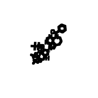 CC(C)(C)[Si](C)(C)O[C@@H]1[C@@H]2O[Si](C(C)(C)C)(C(C)(C)C)OC[C@H]2C[C@H]1n1cc2c3c(ncnc31)N(C(=O)c1ccccc1)CCC2